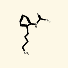 CCCCCc1ccccc1NC(C)=O